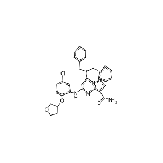 NC(=O)c1cnn2c(N(Cc3ccccc3)Cc3ccccc3)cc(Nc3cc(Cl)cnc3OC3CCOC3)nc12